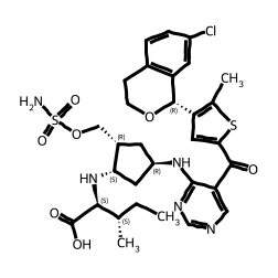 CC[C@H](C)[C@H](N[C@H]1C[C@H](Nc2ncncc2C(=O)c2cc([C@@H]3OCCc4ccc(Cl)cc43)c(C)s2)C[C@H]1COS(N)(=O)=O)C(=O)O